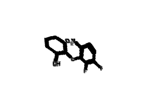 O=[N+]([O-])c1ccc(F)c(F)c1OC1CCCCC1O